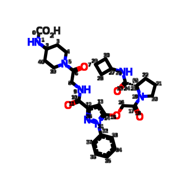 O=C(O)NC1CCN(C(=O)CNC(=O)c2cc(OCC(=O)N3CCC[C@H]3C(=O)NC3CCC3)n(-c3ccccc3)n2)CC1